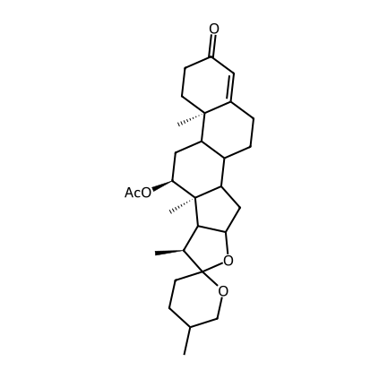 CC(=O)O[C@H]1CC2C(CCC3=CC(=O)CC[C@@]32C)C2CC3OC4(CCC(C)CO4)[C@@H](C)C3[C@]21C